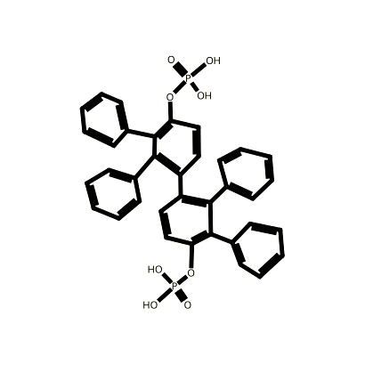 O=P(O)(O)Oc1ccc(-c2ccc(OP(=O)(O)O)c(-c3ccccc3)c2-c2ccccc2)c(-c2ccccc2)c1-c1ccccc1